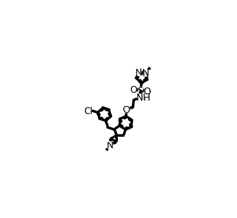 CN1C2C1C21Cc2ccc(OCCNS(=O)(=O)c3cnn(C)c3)cc2C1Cc1cccc(Cl)c1